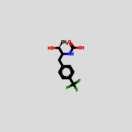 C[C@@H](O)C(Cc1ccc(C(F)(F)F)cc1)NC(=O)O